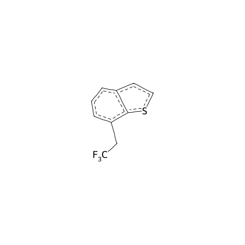 FC(F)(F)Cc1cccc2ccsc12